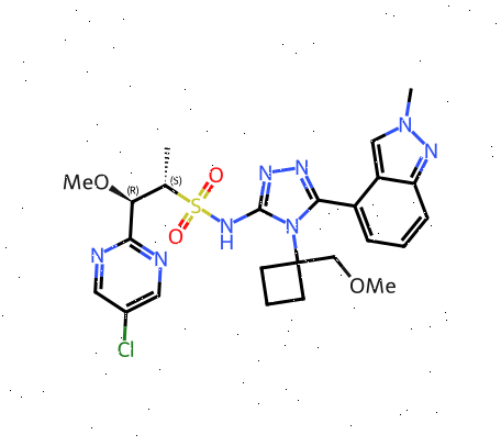 COCC1(n2c(NS(=O)(=O)[C@@H](C)[C@H](OC)c3ncc(Cl)cn3)nnc2-c2cccc3nn(C)cc23)CCC1